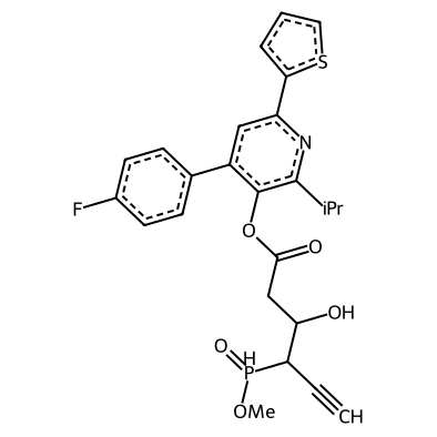 C#CC(C(O)CC(=O)Oc1c(-c2ccc(F)cc2)cc(-c2cccs2)nc1C(C)C)[PH](=O)OC